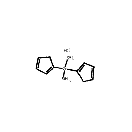 Cl.[SiH3][Zr]([SiH3])([C]1=CC=CC1)[C]1=CC=CC1